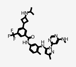 CNc1cc(-n2nc(C)cc2Nc2cc(NC(=O)c3cc(C4CC(NC(C)C)C4)cc(C(F)(F)F)c3)ccc2C)ncn1